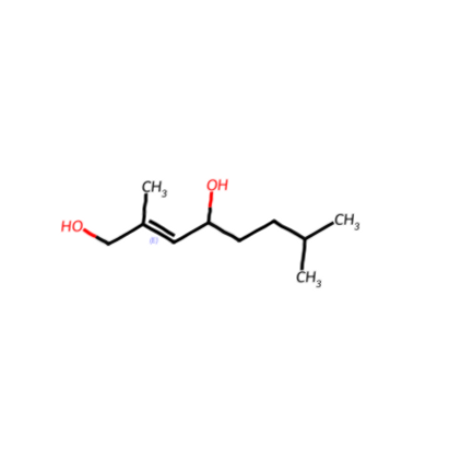 C/C(=C\C(O)CCC(C)C)CO